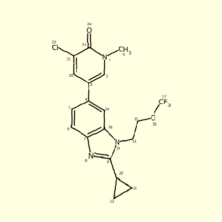 Cn1cc(-c2ccc3nc(C4CC4)n(CCOC(F)(F)F)c3c2)cc(Cl)c1=O